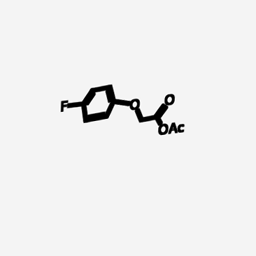 [CH2]C(=O)OC(=O)COc1ccc(F)cc1